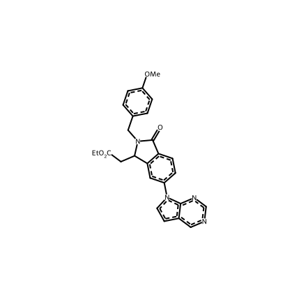 CCOC(=O)CC1c2cc(-n3ccc4cncnc43)ccc2C(=O)N1Cc1ccc(OC)cc1